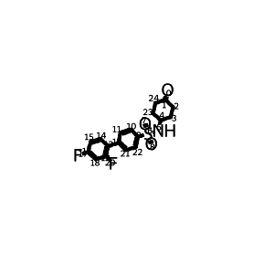 O=C1CCC(NS(=O)(=O)c2ccc(-c3ccc(F)cc3F)cc2)CC1